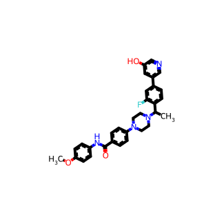 COc1ccc(NC(=O)c2ccc(N3CCN(C(C)c4ccc(-c5cncc(O)c5)cc4F)CC3)cc2)cc1